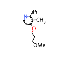 COCCCOc1ccnc(C(C)C)c1C